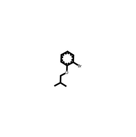 CC(C)COc1cc[c]cc1Br